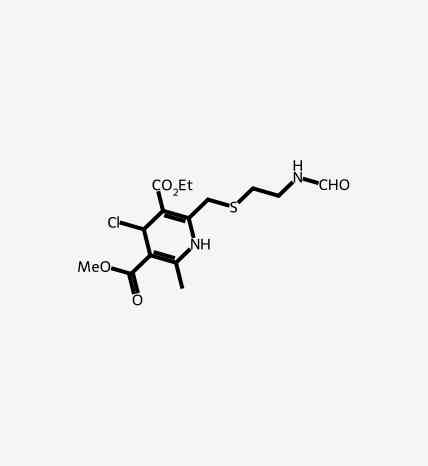 CCOC(=O)C1=C(CSCCNC=O)NC(C)=C(C(=O)OC)C1Cl